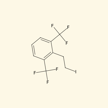 FC(F)(F)c1cccc(C(F)(F)F)c1CCI